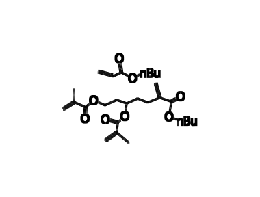 C=C(C)C(=O)OCCC(CCC(=C)C(=O)OCCCC)OC(=O)C(=C)C.C=CC(=O)OCCCC